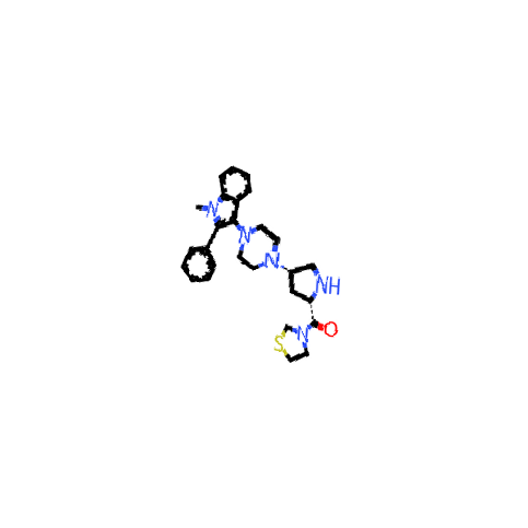 Cn1c(-c2ccccc2)c(N2CCN([C@@H]3CN[C@H](C(=O)N4CCSC4)C3)CC2)c2ccccc21